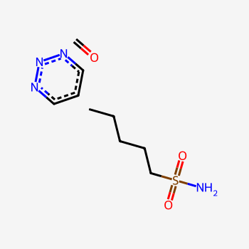 C=O.CCCCCS(N)(=O)=O.c1cnnnc1